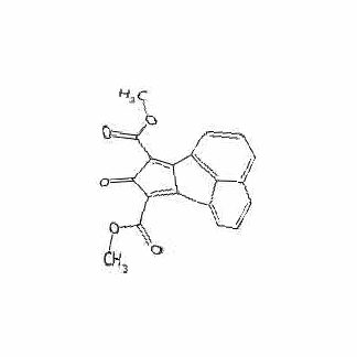 COC(=O)C1=C2C(=C(C(=O)OC)C1=O)c1cccc3cccc2c13